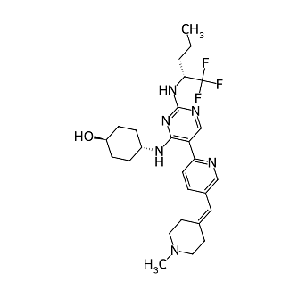 CCC[C@@H](Nc1ncc(-c2ccc(C=C3CCN(C)CC3)cn2)c(N[C@H]2CC[C@H](O)CC2)n1)C(F)(F)F